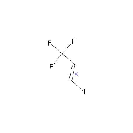 FC(F)(F)/C=C/I